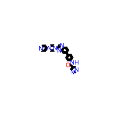 O=C(Nc1ccc(-c2ccc3ncc(N4CCN(c5ccncc5)CC4)nc3c2)cc1)c1cncnc1